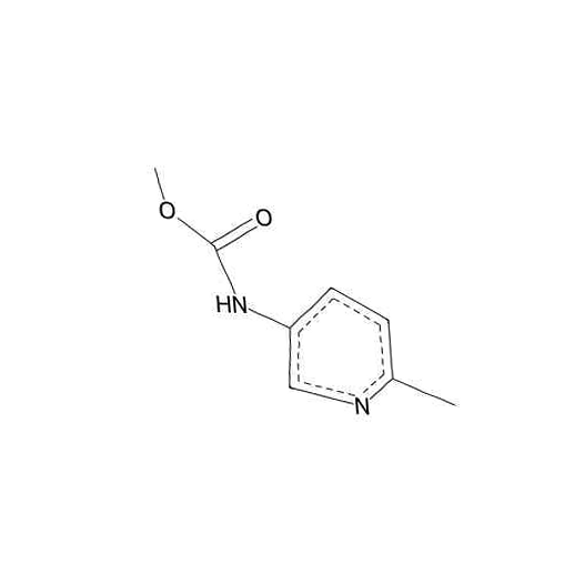 COC(=O)Nc1ccc(C)nc1